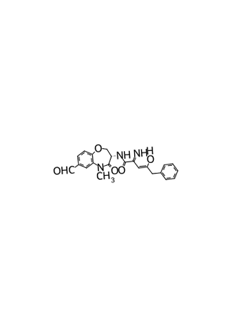 CN1C(=O)[C@@H](NC(=O)C(=N)/C=C(\O)Cc2ccccc2)COc2ccc(C=O)cc21